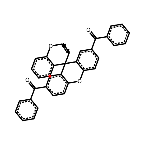 O=C(c1ccccc1)c1ccc2c(c1)C1(c3ccccc3Oc3ccccc31)c1cc(C(=O)c3ccccc3)ccc1O2